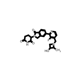 CC1C(O)CN1Cc1ccnc(-c2ccc3c(c2)CN(C2CCC(=O)NC2=O)C3=O)c1F